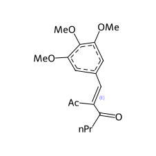 CCCC(=O)/C(=C/c1cc(OC)c(OC)c(OC)c1)C(C)=O